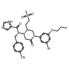 CS(=O)(=O)CCC1CN(c2cc(Br)cc(OCCF)c2)C(=O)CN1[C@@H](Cc1ccc(C#N)cc1)C(=O)c1cnc[nH]1